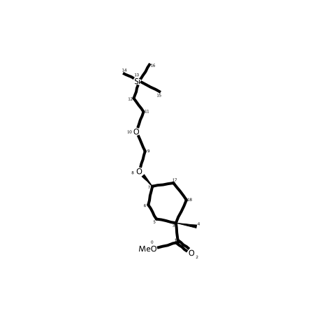 COC(=O)[C@]1(C)CC[C@@H](OCOCC[Si](C)(C)C)CC1